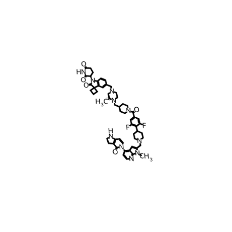 C[C@H]1CN(Cc2ccc3c(c2)C2(CCC2)C(=O)N3C2CCC(=O)NC2=O)CCN1CC1CCN(C(=O)c2cc(F)c(C3CCN(Cc4cc5c(-n6ccc7c(c6=O)CCN7)ccnc5n4C)CC3)c(F)c2)CC1